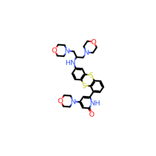 O=c1cc(N2CCOCC2)cc(-c2cccc3c2Sc2ccc(NC(CN4CCOCC4)CN4CCOCC4)cc2S3)[nH]1